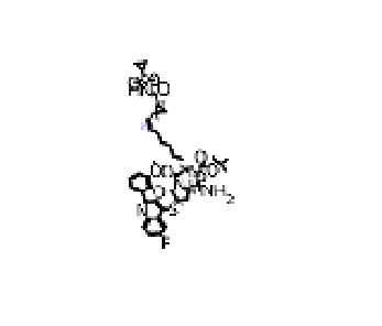 COc1cccc2c1oc1c(S[C@@H]3C[C@@H](C(N)=O)N(C(=O)[C@H](CCCCC/C=C\[C@@H]4C[C@@H]4C(=O)NS(=O)(=O)C4CC4)NC(=O)OC(C)(C)C)C3)c3cc(F)ccc3nc12